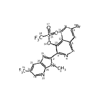 Cn1c(-c2ncc3cc(Br)ccc3c2OS(=O)(=O)C(F)(F)F)nc2cc(C(F)(F)F)cnc21